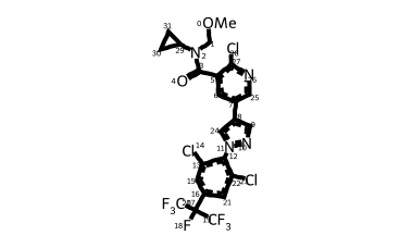 COCN(C(=O)c1cc(-c2cnn(-c3c(Cl)cc(C(F)(C(F)(F)F)C(F)(F)F)cc3Cl)c2)cnc1Cl)C1CC1